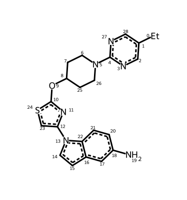 CCc1cnc(N2CCC(Oc3nc(-n4ccc5cc(N)ccc54)cs3)CC2)nc1